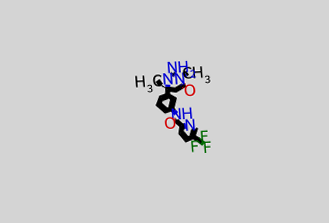 CC[C@@]1(c2cccc(NC(=O)c3ccc(C(F)(F)F)cn3)c2)CC(=O)N(C)C(N)=N1